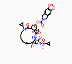 O=C1N[C@]2(C(=O)NS(=O)(=O)C3CC3)C[C@H]2/C=C\CCCCN(C2CC2)C(=O)C2C[C@H](OC(=O)N3Cc4cc5c(cc4C3)OCO5)C[C@@H]12